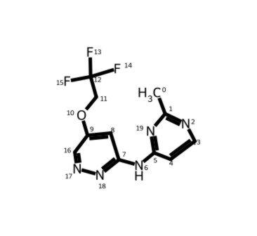 Cc1n[c]cc(Nc2cc(OCC(F)(F)F)cnn2)n1